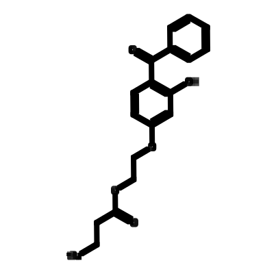 CC(C)(C)CCC(=O)OCCOc1ccc(C(=O)c2ccccc2)c(O)c1